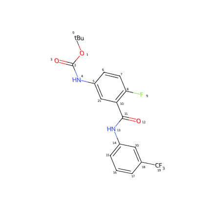 CC(C)(C)OC(=O)Nc1ccc(F)c(C(=O)Nc2cccc(C(F)(F)F)c2)c1